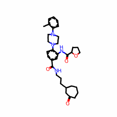 Cc1ccccc1N1CCN(c2ccc(C(=O)NCCCC3CCCCC(=O)C3)cc2NC(=O)C2CCCO2)CC1